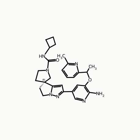 Cc1cccc(C(C)Oc2cc(-c3cc4n(n3)CC[C@@]43CCN(C(=O)NC4CCC4)C3)cnc2N)n1